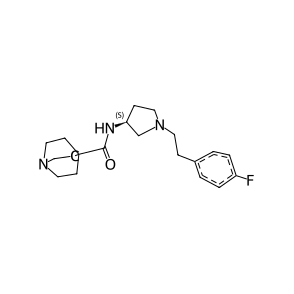 O=C(N[C@H]1CCN(CCc2ccc(F)cc2)C1)C12CCN(CC1)CC2